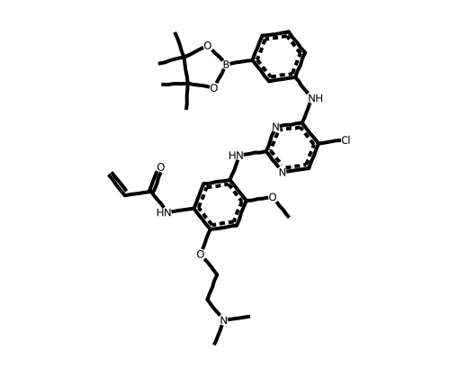 C=CC(=O)Nc1cc(Nc2ncc(Cl)c(Nc3cccc(B4OC(C)(C)C(C)(C)O4)c3)n2)c(OC)cc1OCCN(C)C